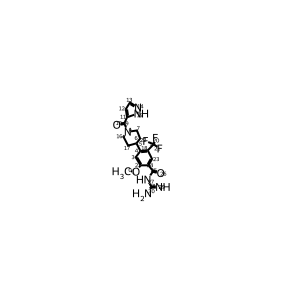 COc1cc(C2CCN(C(=O)c3ccn[nH]3)CC2)c(C(F)(F)F)cc1C(=O)NC(=N)N